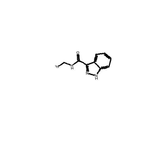 [2H]CNC(=O)c1n[nH]c2ccccc12